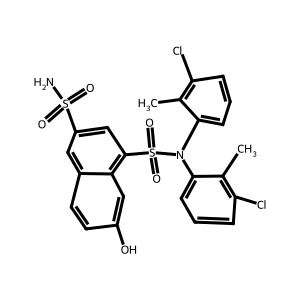 Cc1c(Cl)cccc1N(c1cccc(Cl)c1C)S(=O)(=O)c1cc(S(N)(=O)=O)cc2ccc(O)cc12